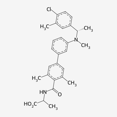 Cc1cc([C@H](C)N(C)c2cccc(-c3cc(C)c(C(=O)NC(C)C(=O)O)c(C)c3)c2)ccc1Cl